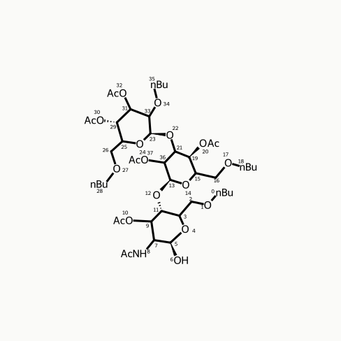 CCCCOCC1O[C@@H](O)C(NC(C)=O)C(OC(C)=O)[C@@H]1O[C@@H]1OC(COCCCC)[C@H](OC(C)=O)C(O[C@H]2OC(COCCCC)[C@H](OC(C)=O)C(OC(C)=O)C2OCCCC)C1OC(C)=O